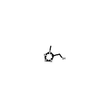 Cn1nnnc1[CH]S